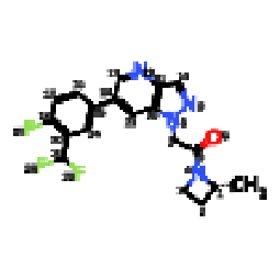 C[C@@H]1CCN1C(=O)Cn1ncc2ncc(-c3ccc(F)c(C(F)F)c3)cc21